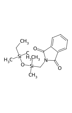 CC[Si](C)(C)O[Si](C)(C)CN1C(=O)c2ccccc2C1=O